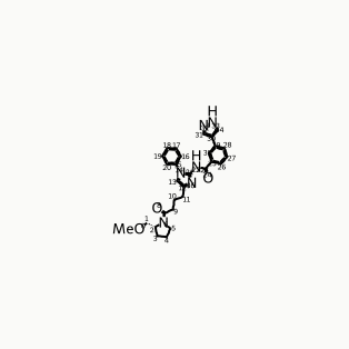 COC[C@H]1CCCN1C(=O)CCCc1cn(-c2ccccc2)c(NC(=O)c2cccc(-c3cn[nH]c3)c2)n1